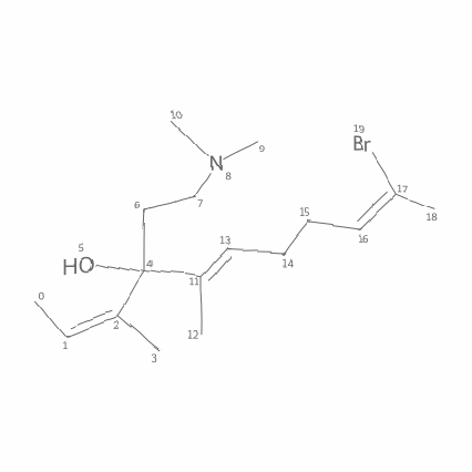 CC=C(C)C(O)(CCN(C)C)C(C)=CCCC=C(C)Br